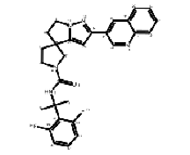 CC(C)(NC(=O)N1CCC2(CCn3nc(-c4cnc5ccccc5c4)cc32)C1)c1c(F)cccc1F